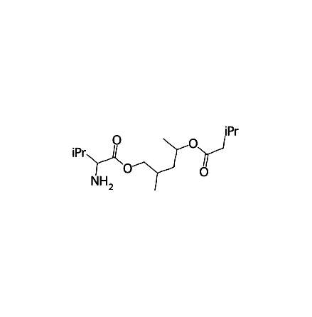 CC(C)CC(=O)OC(C)CC(C)COC(=O)C(N)C(C)C